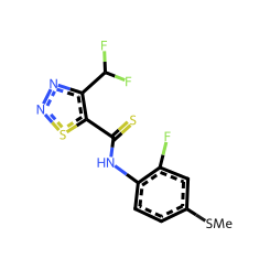 CSc1ccc(NC(=S)c2snnc2C(F)F)c(F)c1